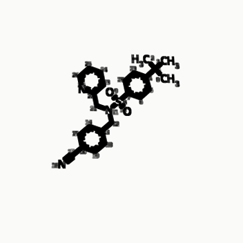 CC(C)(C)c1ccc(S(=O)(=O)N(Cc2ccc(C#N)cc2)Cc2ccccn2)cc1